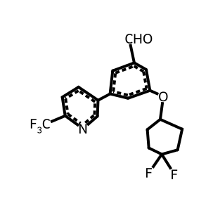 O=Cc1cc(OC2CCC(F)(F)CC2)cc(-c2ccc(C(F)(F)F)nc2)c1